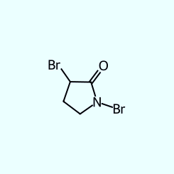 O=C1C(Br)CCN1Br